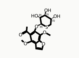 COc1c(C(C)=O)c(O[C@@H]2SC[C@@H](O)[C@H](O)[C@H]2O)c(OC)c2occc12